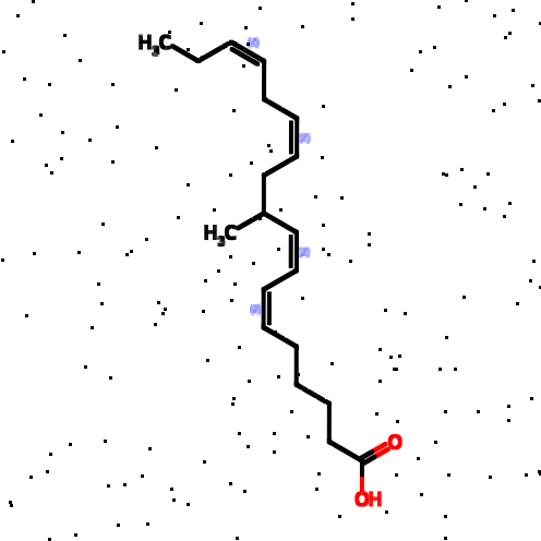 CC/C=C\C/C=C\CC(C)/C=C\C=C/CCCCC(=O)O